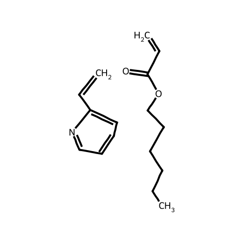 C=CC(=O)OCCCCCC.C=Cc1ccccn1